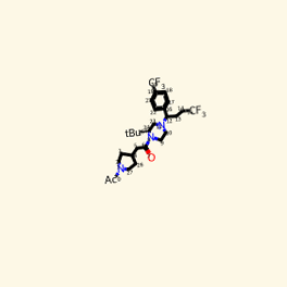 CC(=O)N1CCC(CC(=O)N2CCN(C(CCC(F)(F)F)c3ccc(C(F)(F)F)cc3)C[C@@H]2C(C)(C)C)CC1